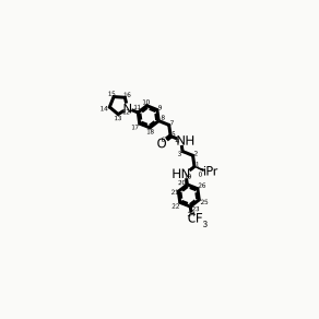 CC(C)[C@H](CCNC(=O)Cc1ccc(N2CCCC2)cc1)Nc1ccc(C(F)(F)F)cc1